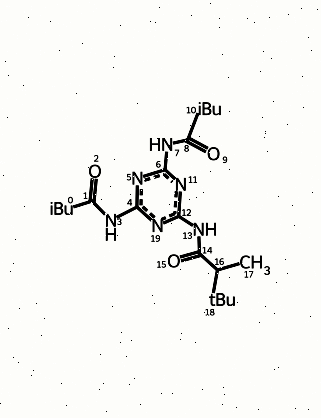 CCC(C)C(=O)Nc1nc(NC(=O)C(C)CC)nc(NC(=O)C(C)C(C)(C)C)n1